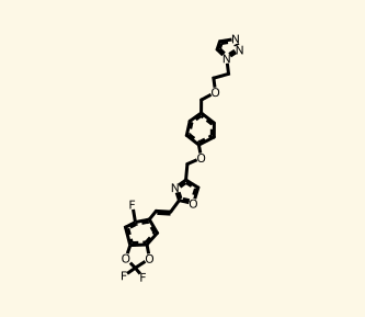 Fc1cc2c(cc1C=Cc1nc(COc3ccc(COCCn4ccnn4)cc3)co1)OC(F)(F)O2